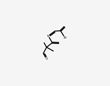 C=C(Br)/C=N\C(=C)C(C)(C)C=O